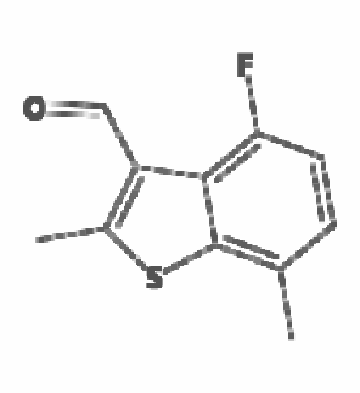 Cc1sc2c(C)ccc(F)c2c1C=O